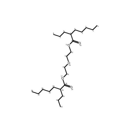 CCCCCC(CCC)C(=O)OCCOCCOC(=O)C(CCC)CCCCC